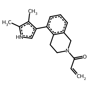 C=CC(=O)N1CCc2c(cccc2-c2c[nH]c(C)c2C)C1